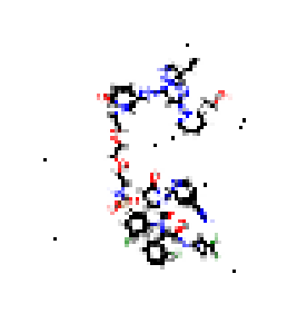 CCc1cnn2c(NCc3ccc(=O)n(CCOCCOCCNS(=O)(=O)c4cc(F)cc(N(C(=O)[C@@H]5CCC(=O)N5c5cc(C#N)ccn5)C(C(=O)NC5CC(F)(F)C5)c5ccccc5Cl)c4)c3)cc(N3CCCC[C@H]3CCO)nc12